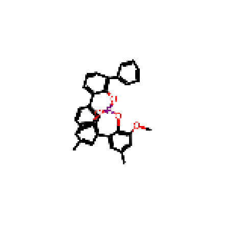 COc1cc(C)cc2c1op(Oc1c(-c3ccccc3)cccc1-c1ccccc1)oc1ccc(C)cc12